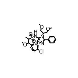 COCC(COC)n1c(NS(=O)(=O)C(C)C(OC)c2ncc(Cl)cn2)nnc1-c1ccccc1